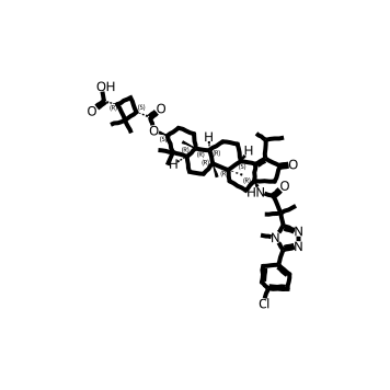 CC(C)C1=C2[C@H]3CC[C@@H]4[C@@]5(C)CC[C@H](OC(=O)[C@H]6C[C@@H](C(=O)O)C6(C)C)C(C)(C)[C@@H]5CC[C@@]4(C)[C@]3(C)CC[C@@]2(NC(=O)C(C)(C)c2nnc(-c3ccc(Cl)cc3)n2C)CC1=O